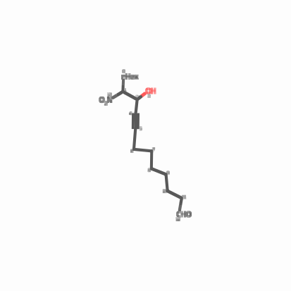 CCCCCCC(C(O)C#CCCCCCCC=O)[N+](=O)[O-]